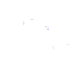 CN(C)C(c1ccccc1O)N(C)C